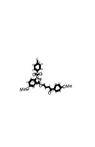 COc1ccc(C(=O)CCCOc2nn(S(=O)(=O)c3ccc(C)cc3)c3ccc(OC)cc23)cc1